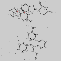 O=C1CCC(N2Cc3ccc(N4CC5CC(C4)N5CC4CCN(CCOc5ccc(C(=C(CCCl)c6ccccc6)c6ccccc6)cc5)CC4)cc3C2)C(=O)N1